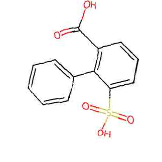 O=C(O)c1cccc(S(=O)(=O)O)c1-c1ccccc1